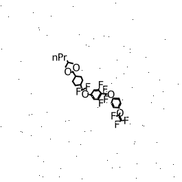 CCCC1COC(C2CCC(C(F)(F)Oc3cc(F)c(C(F)(F)Oc4ccc(OC(F)=C(F)F)cc4)c(F)c3)CC2)OC1